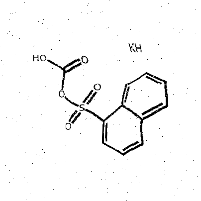 O=C(O)OS(=O)(=O)c1cccc2ccccc12.[KH]